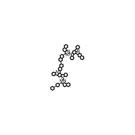 c1ccc(-c2ccc(-c3nc(-n4c5ccccc5c5c6c7cc8ccc(-c9ccc%10ccc(-c%11nc(-n%12c%13ccccc%13c%13c%14c%15cc%16ccccc%16cc%15n%15c%16ccccc%16c(cc%13%12)c%14%15)nc%12c%11ccc%11ccccc%11%12)cc%10c9)cc8cc7n7c8ccccc8c(cc54)c67)nc4c3ccc3ccccc34)cc2)cc1